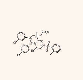 CCC(CNS(=O)(=O)c1ccccc1C)N1C(=O)[C@@](C)(CC(=O)O)C[C@H](c2cccc(Cl)c2)[C@H]1c1ccc(Cl)cc1